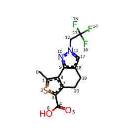 Cc1sc(C(=O)O)c2c1-c1nn(CC(F)(F)F)cc1CC2